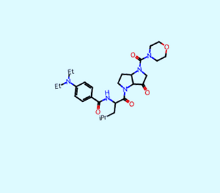 CCN(CC)c1ccc(C(=O)NC(CC(C)C)C(=O)N2CCC3C2C(=O)CN3C(=O)N2CCOCC2)cc1